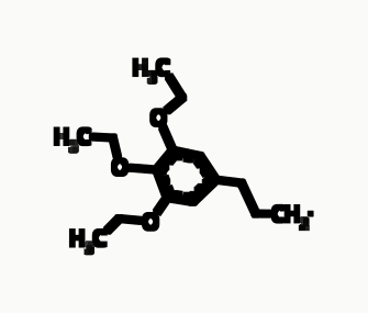 [CH2]CCc1cc(OCC)c(OCC)c(OCC)c1